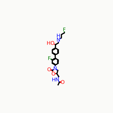 CC(=O)NCC1CN(c2ccc(-c3ccc(C(O)CNCCCF)cc3)c(F)c2)C(=O)O1